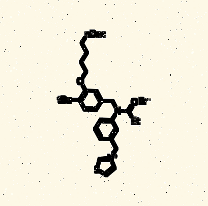 CCCCCCCCCCCCCCOc1cc(CN(C(=O)CC)c2cccc(C[n+]3ccsc3)c2)ccc1C(C)(C)C.[Br-]